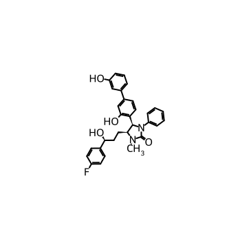 CN1C(=O)N(c2ccccc2)[C@H](c2ccc(-c3cccc(O)c3)cc2O)[C@@H]1CC[C@H](O)c1ccc(F)cc1